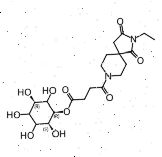 CCN1C(=O)CC2(CCN(C(=O)CCC(=O)O[C@@H]3C(O)[C@H](O)C(O)C(O)[C@@H]3O)CC2)C1=O